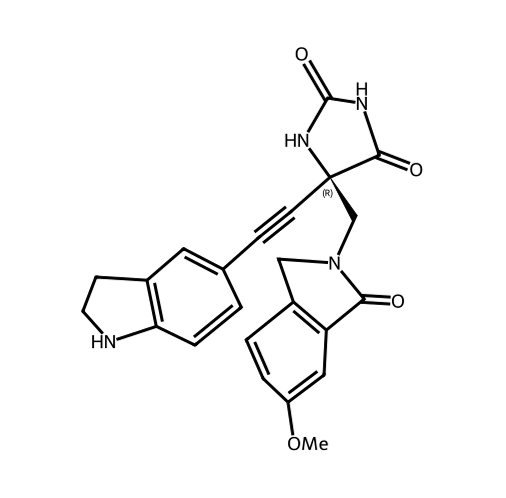 COc1ccc2c(c1)C(=O)N(C[C@@]1(C#Cc3ccc4c(c3)CCN4)NC(=O)NC1=O)C2